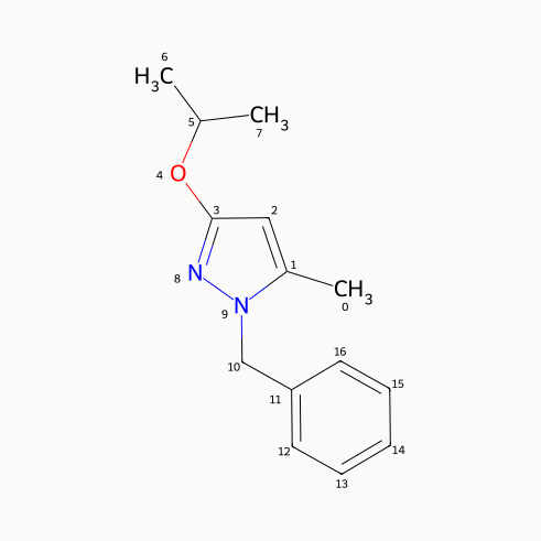 Cc1cc(OC(C)C)nn1Cc1ccccc1